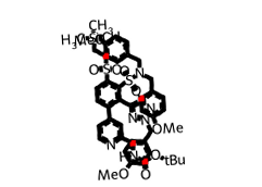 COc1ccc(CN(Cc2ccc(OC)cc2)S(=O)(=O)c2c(S(=O)(=O)CC[Si](C)(C)C)ccc(-c3ccnc(CNC(=O)OC(C)(C)C)c3)c2-c2nnn(Cc3ccc(OC)cc3)n2)cc1